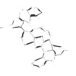 COc1cc2c3c(c1)-c1ccc4cc5c6c(ccc7cc(c1c4c76)B3c1ccccc1O2)-c1cc(OC)cc2c1B5c1ccccc1O2